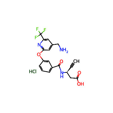 C#C[C@@H](CC(=O)O)NC(=O)c1cccc(Oc2cc(CN)cc(C(F)(F)F)n2)c1.Cl